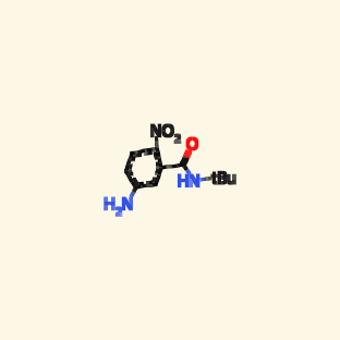 CC(C)(C)NC(=O)c1cc(N)ccc1[N+](=O)[O-]